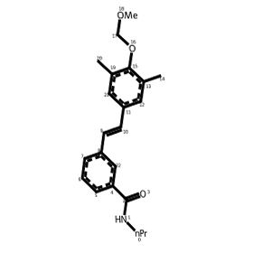 CCCNC(=O)c1cccc(C=Cc2cc(C)c(OCOC)c(C)c2)c1